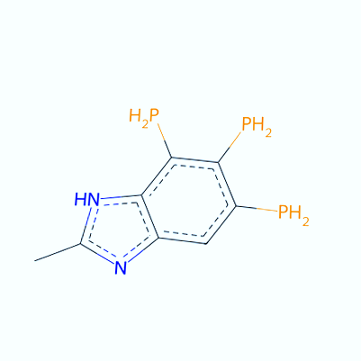 Cc1nc2cc(P)c(P)c(P)c2[nH]1